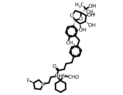 Cc1ccc([C@]23OC[C@](C(C)(C)O)(O2)[C@@H](O)[C@H](O)[C@H]3O)cc1Cc1ccc(CCCC(=O)N(CCN2CC[C@@H](F)C2)C2(NC=O)CCCCC2)cc1